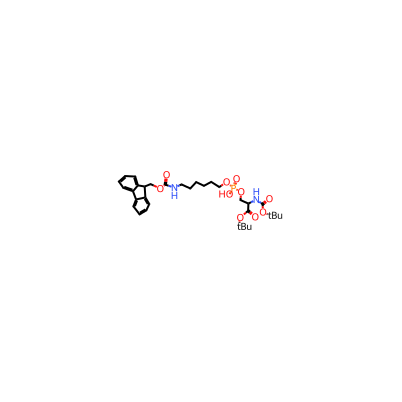 CC(C)(C)OC(=O)NC(COP(=O)(O)OCCCCCCNC(=O)OCC1c2ccccc2-c2ccccc21)C(=O)OC(C)(C)C